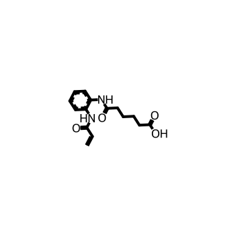 C=CC(=O)Nc1ccccc1NC(=O)CCCCC(=O)O